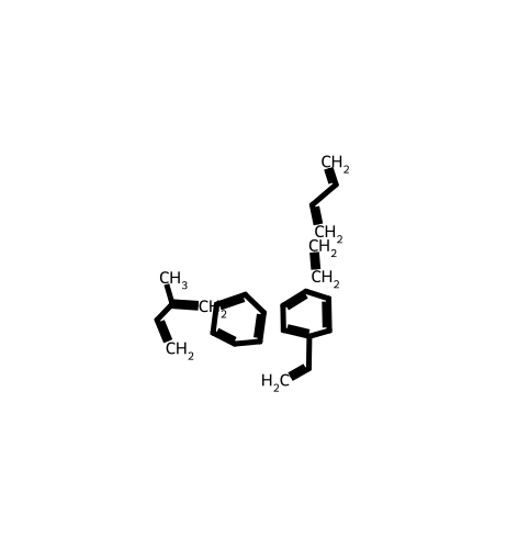 C=C.C=CC(=C)C.C=CC=C.C=Cc1ccccc1.c1ccccc1